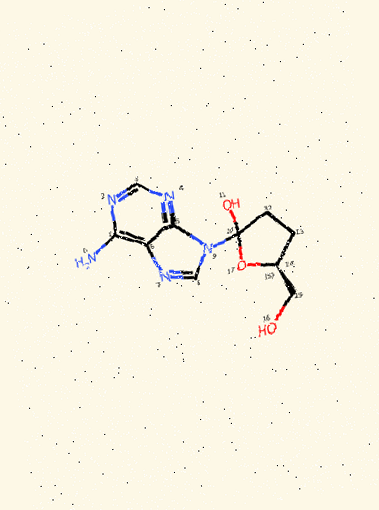 Nc1ncnc2c1ncn2C1(O)CC[C@@H](CO)O1